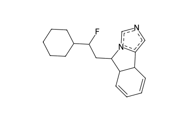 FC(CC1C2C=CC=CC2c2cncn21)C1CCCCC1